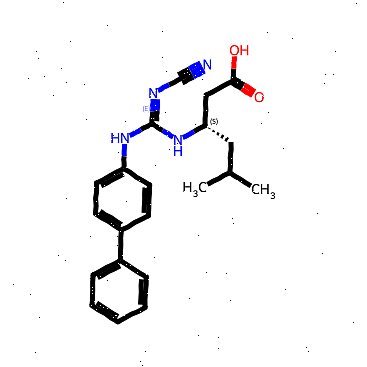 CC(C)C[C@@H](CC(=O)O)N/C(=N\C#N)Nc1ccc(-c2ccccc2)cc1